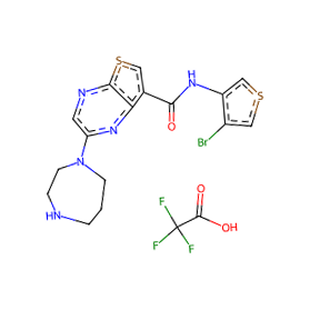 O=C(Nc1cscc1Br)c1csc2ncc(N3CCCNCC3)nc12.O=C(O)C(F)(F)F